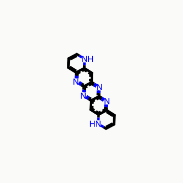 C1=CNc2cc3nc4nc5c(cc4nc3nc2=C1)NC=CC=5